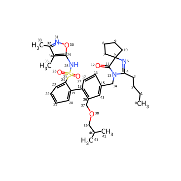 CCCCC1=NC2(CCCC2)C(=O)N1Cc1ccc(-c2ccccc2S(=O)(=O)Nc2onc(C)c2C)c(COCC(C)C)c1